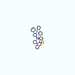 c1ccc(N(c2ccc3c(c2)C2(c4ccccc4-c4ccccc42)c2ccccc2-3)c2cccc3oc4cc5ccccc5cc4c23)cc1